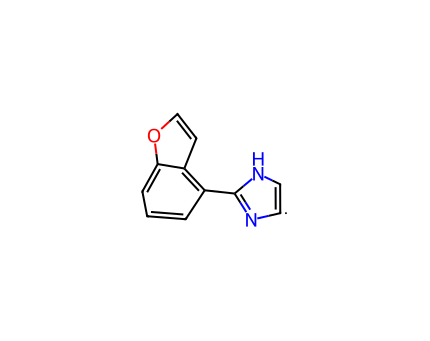 [c]1c[nH]c(-c2cccc3occc23)n1